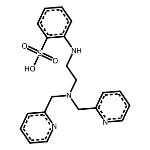 O=S(=O)(O)c1ccccc1NCCN(Cc1ccccn1)Cc1ccccn1